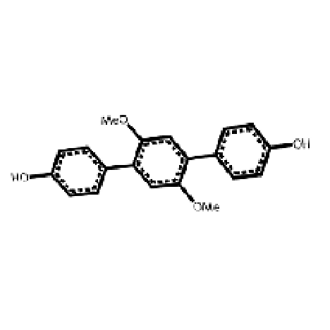 COc1cc(-c2ccc(O)cc2)c(OC)cc1-c1ccc(O)cc1